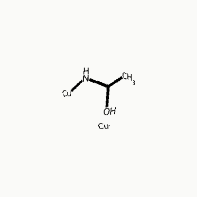 CC(O)[NH][Cu].[Cu]